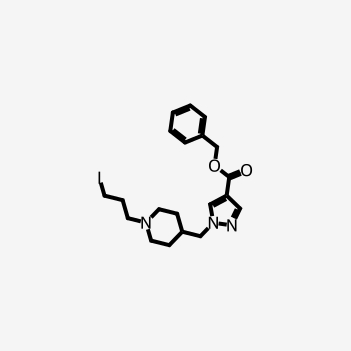 O=C(OCc1ccccc1)c1cnn(CC2CCN(CCCI)CC2)c1